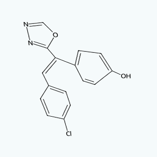 Oc1ccc(/C(=C\c2ccc(Cl)cc2)c2nnco2)cc1